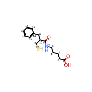 O=C(O)CCCCNC(=O)C(CS)Cc1ccccc1